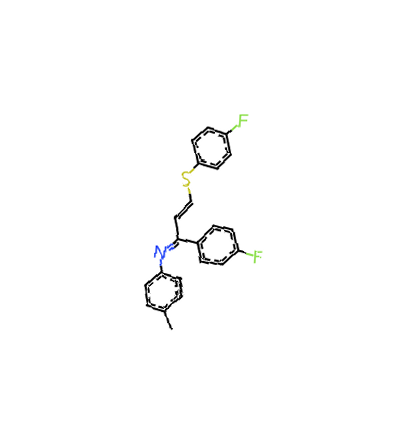 Cc1ccc(N=C(C=CSc2ccc(F)cc2)c2ccc(F)cc2)cc1